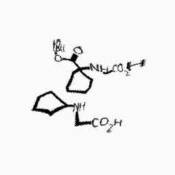 CC(C)(C)OC(=O)C1(NCC(=O)O)CCCC1.O=C(O)CNC1CCCC1